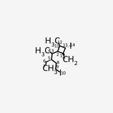 C=C1C(C(C)[C@H](CC)CCI)C(C)[C@@H]1I